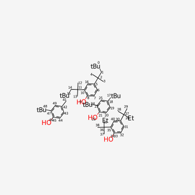 CC(C)(C)CC(C)(C)c1ccc(O)c(C(C)(C)CC(C)(C)C)c1.CC(C)(C)c1ccc(O)c(C(C)(C)C)c1.CCC(C)(C)c1ccc(O)c(C(C)(C)CC)c1.Cc1ccc(O)c(C(C)(C)C)c1